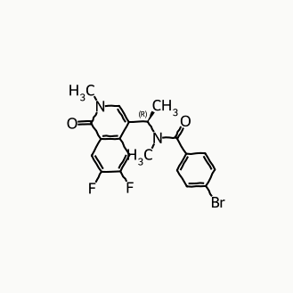 C[C@H](c1cn(C)c(=O)c2cc(F)c(F)cc12)N(C)C(=O)c1ccc(Br)cc1